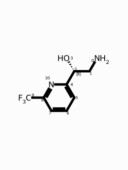 NC[C@@H](O)c1cccc(C(F)(F)F)n1